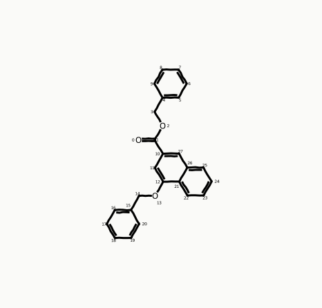 O=C(OCc1ccccc1)c1cc(OCc2ccccc2)c2ccccc2c1